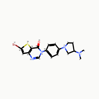 CN(C)C1CCN(c2ccc(-n3cnc4cc(Br)sc4c3=O)cc2)C1